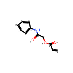 C=CC(=O)OCC(=O)Nc1ccccc1